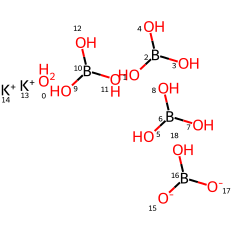 O.OB(O)O.OB(O)O.OB(O)O.[K+].[K+].[O-]B([O-])O